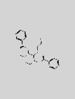 CCCCC([C@H](CC)OC(=O)c1ccccc1)[C@@H](CC)OC(=O)c1ccccc1